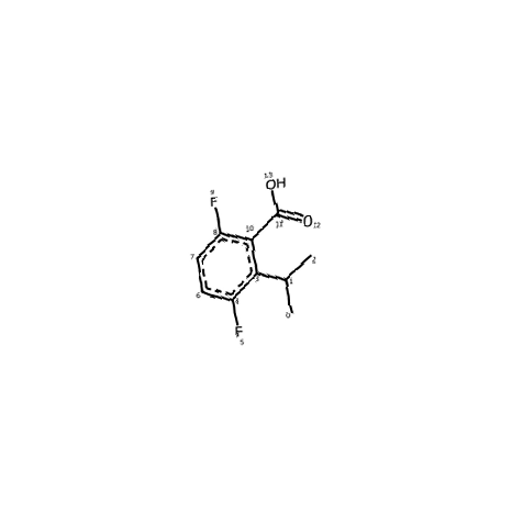 CC(C)c1c(F)ccc(F)c1C(=O)O